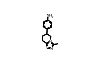 Cc1nnc2n1CC(c1ccc(N)cc1)CC2